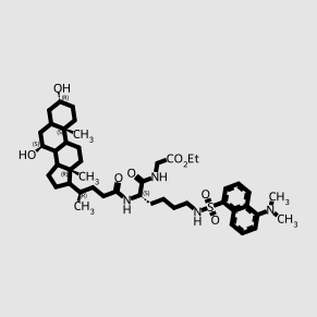 CCOC(=O)CNC(=O)[C@H](CCCCNS(=O)(=O)c1cccc2c(N(C)C)cccc12)NC(=O)CC[C@@H](C)C1CCC2C3C(CC[C@@]21C)[C@@]1(C)CC[C@@H](O)CC1C[C@@H]3O